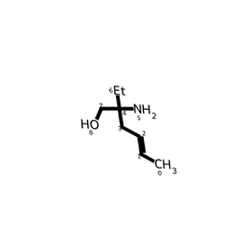 CC=CCC(N)(CC)CO